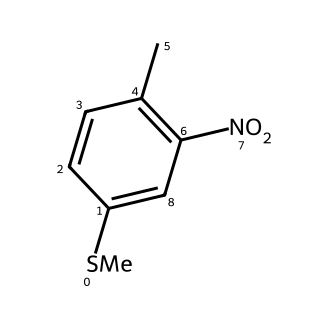 CSc1ccc(C)c([N+](=O)[O-])c1